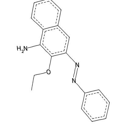 CCOc1c(/N=N/c2ccccc2)cc2ccccc2c1N